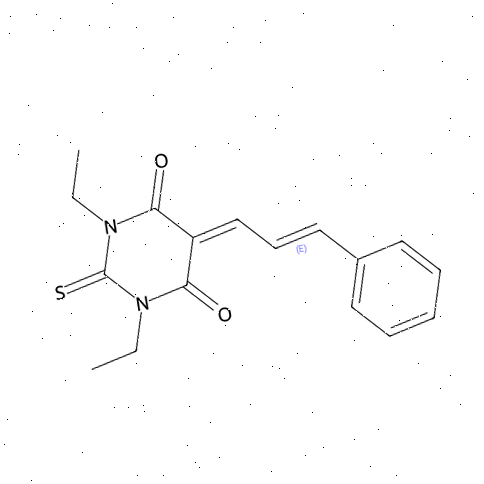 CCN1C(=O)C(=C/C=C/c2ccccc2)C(=O)N(CC)C1=S